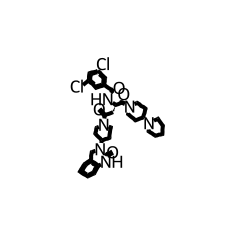 O=C(N[C@@H](CC(=O)N1CCC(N2Cc3ccccc3NC2=O)CC1)C(=O)N1CCC(N2CCCCC2)CC1)c1cc(Cl)cc(Cl)c1